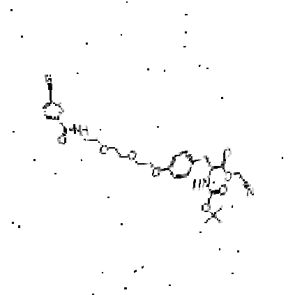 CC(C)(C)OC(=O)N[C@@H](Cc1ccc(OCCOCCOCCNC(=O)c2ccc(C#N)s2)cc1)C(=O)OCC#N